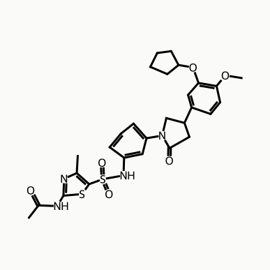 COc1ccc(C2CC(=O)N(c3cccc(NS(=O)(=O)c4sc(NC(C)=O)nc4C)c3)C2)cc1OC1CCCC1